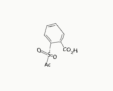 CC(=O)S(=O)(=O)c1ccccc1C(=O)O